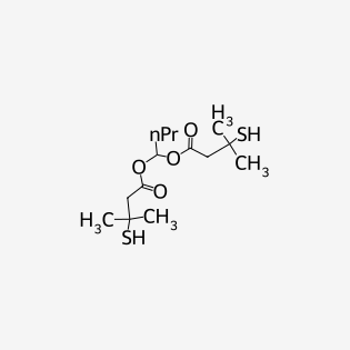 CCCC(OC(=O)CC(C)(C)S)OC(=O)CC(C)(C)S